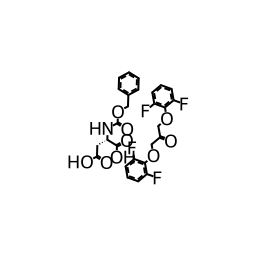 O=C(COc1c(F)cccc1F)COc1c(F)cccc1F.O=C(O)C[C@H](NC(=O)OCc1ccccc1)C(=O)O